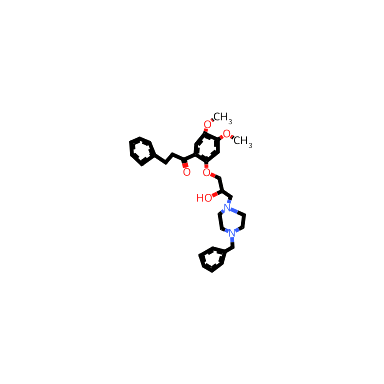 COc1cc(OCC(O)CN2CCN(Cc3ccccc3)CC2)c(C(=O)CCc2ccccc2)cc1OC